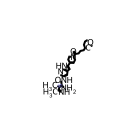 CC(=N)/C(C)=C(\N)C(=O)Nc1cnc2[nH]c(C3=CCN(C(=O)CCCC4CCCOCC4)CC3)cc2c1